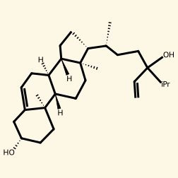 C=CC(O)(CC[C@@H](C)[C@H]1CC[C@H]2[C@@H]3CC=C4C[C@@H](O)CC[C@]4(C)[C@H]3CC[C@]12C)C(C)C